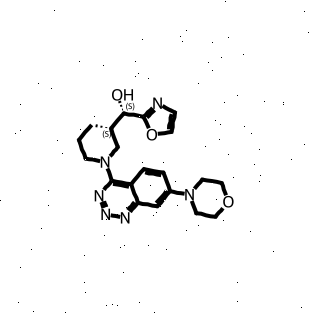 O[C@H](c1ncco1)[C@H]1CCCN(c2nnnc3cc(N4CCOCC4)ccc23)C1